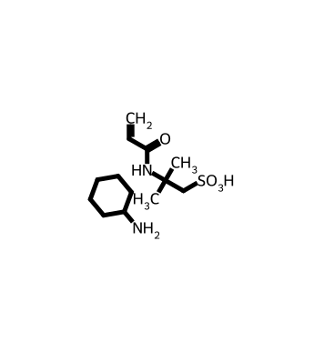 C=CC(=O)NC(C)(C)CS(=O)(=O)O.NC1CCCCC1